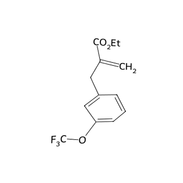 C=C(Cc1cccc(OC(F)(F)F)c1)C(=O)OCC